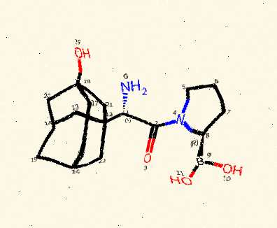 N[C@H](C(=O)N1CCC[C@H]1B(O)O)C12CC3CC(CC(O)(C3)C1)C2